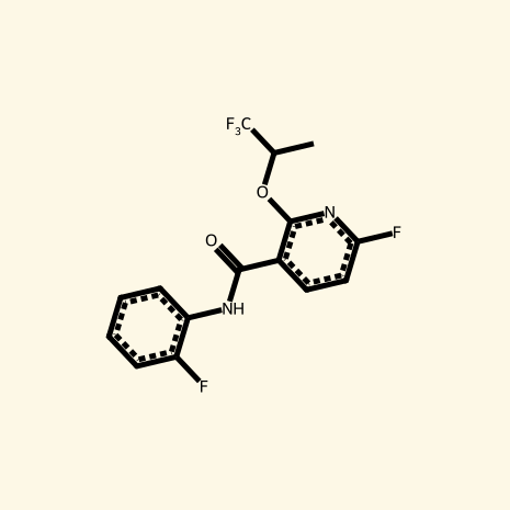 CC(Oc1nc(F)ccc1C(=O)Nc1ccccc1F)C(F)(F)F